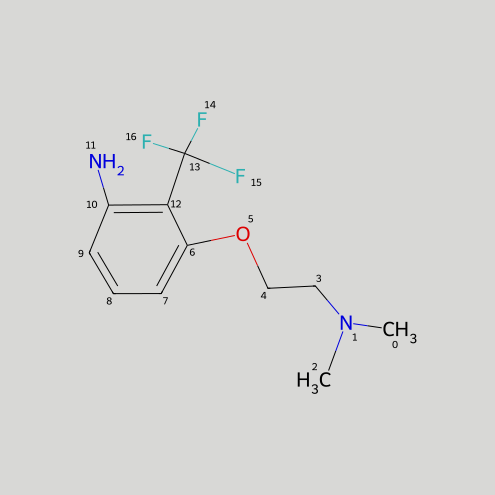 CN(C)CCOc1cccc(N)c1C(F)(F)F